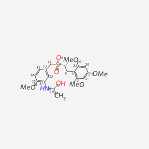 COc1cc(OC)c(CCS(=O)(=O)Cc2ccc(OC)c(NC(C)O)c2)c(OC)c1